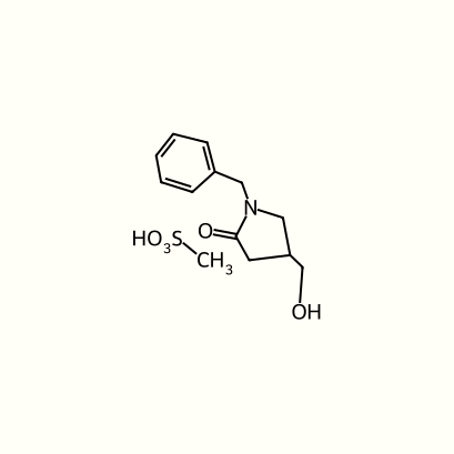 CS(=O)(=O)O.O=C1CC(CO)CN1Cc1ccccc1